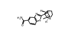 C[C@H]1[C@H](c2nc3cc(C(N)=O)ccc3s2)C2CCN1CC2